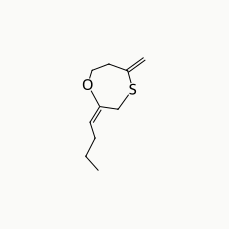 C=C1CCO/C(=C/CCC)CS1